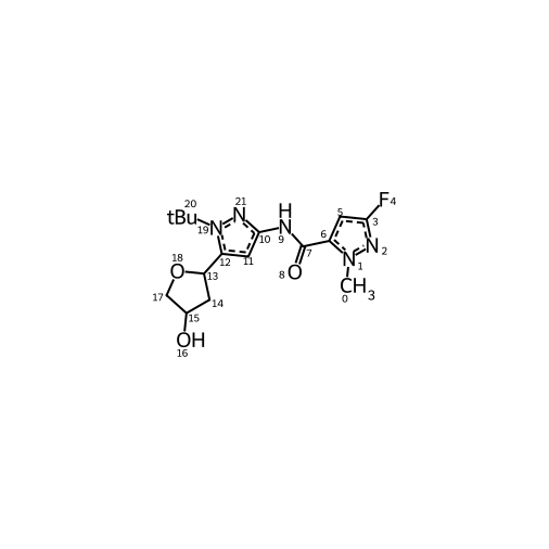 Cn1nc(F)cc1C(=O)Nc1cc(C2CC(O)CO2)n(C(C)(C)C)n1